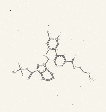 COCCNC(=O)c1cccc(-c2cc(Cl)c(C)cc2OCc2nn(C(=O)OC(C)(C)C)c3ncccc23)c1